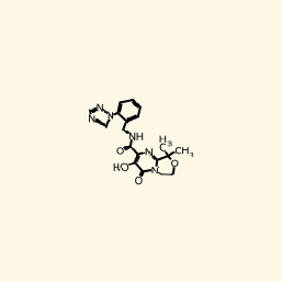 CC1(C)OCCn2c1nc(C(=O)NCc1ccccc1-n1cncn1)c(O)c2=O